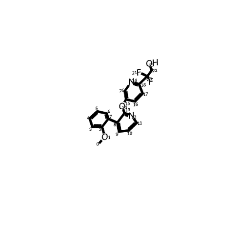 COc1ccccc1-c1cccnc1Oc1ccc(C(F)(F)CO)nc1